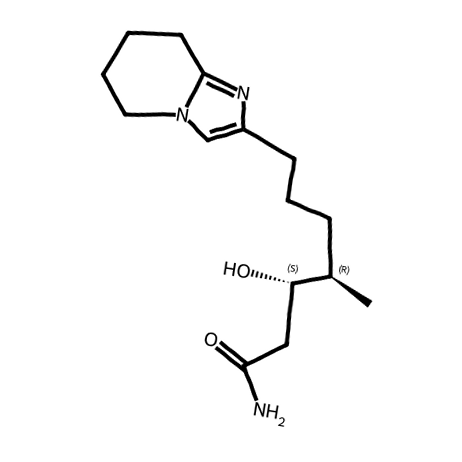 C[C@H](CCCc1cn2c(n1)CCCC2)[C@@H](O)CC(N)=O